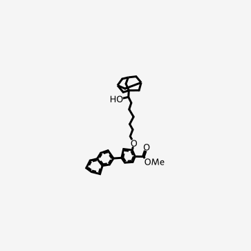 COC(=O)c1ccc(-c2ccc3ccccc3c2)cc1OCCCCCCC(O)C12CC3CC(CC(C3)C1)C2